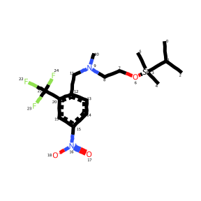 CC(C)[Si](C)(C)OCCN(C)Cc1ccc([N+](=O)[O-])cc1C(F)(F)F